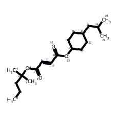 CCCC(C)(C)OC(=O)/C=C/C(=O)OC1CCC(CC(C)C)CC1